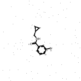 O=C(NCC1CC1)c1cccc(Br)c1